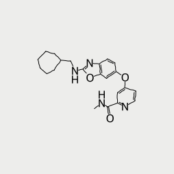 CNC(=O)c1cc(Oc2ccc3nc(NCC4CCCCCC4)oc3c2)ccn1